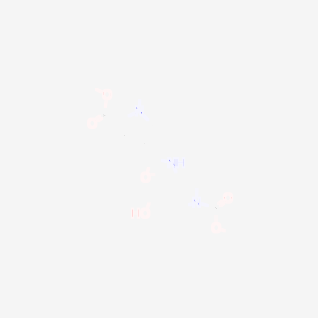 CCOC(=O)c1c(F)c([S+]([O-])NC2CN(C(=O)OCC)CC2CO)cn1C